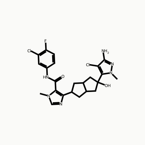 Cn1cnc(C2CC3CC(O)(c4c(Cl)c(N)nn4C)CC3C2)c1C(=O)Nc1ccc(F)c(Cl)c1